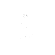 Cn1nnnc1SCC1=C(C(=O)O)N2C(=O)C(NC(=O)C(Sc3c(Cl)cccc3C(=O)O)c3csc(N)n3)[C@@H]2SC1